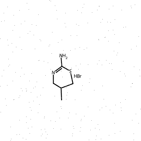 Br.CC1CN=C(N)SC1